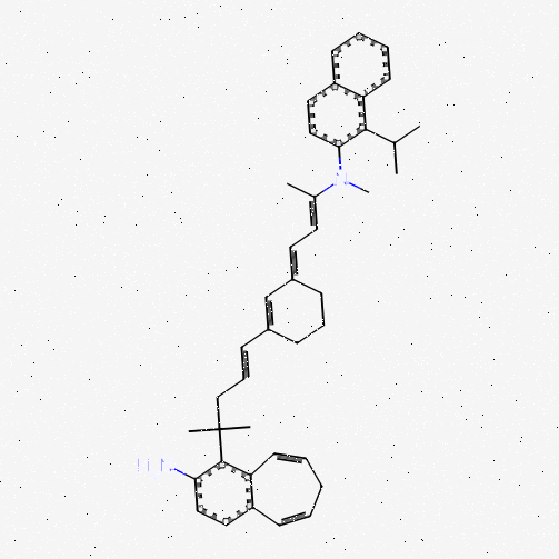 C/C(=C\C=C1C=C(/C=C/CC(C)(C)c2c(N)ccc3c2C=CCC=C3)CCC\1)N(C)c1ccc2ccccc2c1C(C)C